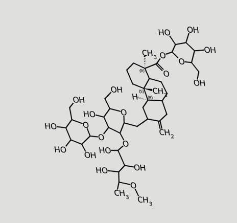 C=C1CC2CCC3[C@](C)(C(=O)OC4OC(CO)C(O)C(O)C4O)CCC[C@@]3(C)[C@@H]2CC1CC1OC(CO)C(O)C(OC2OC(CO)C(O)C(O)C2O)C1OC(O)C(O)C(O)C(C)OC